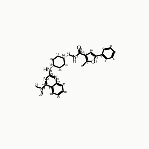 Cc1oc(-c2ccccc2)cc1C(=O)NC[C@H]1CC[C@@H](Nc2nc(N(C)C)c3ccccc3n2)CC1